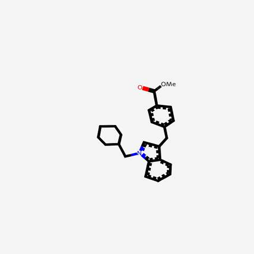 COC(=O)c1ccc(Cc2cn(CC3CCCCC3)c3ccccc23)cc1